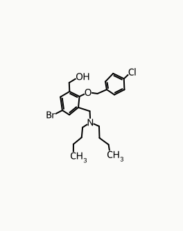 CCCCN(CCCC)Cc1cc(Br)cc(CO)c1OCc1ccc(Cl)cc1